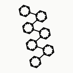 c1ccc(-c2ccccc2-c2ccccc2-c2ccccc2-c2ccccc2-c2ccccc2-c2ccccc2)cc1